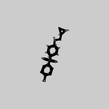 O=S(=O)(c1ccc(Cl)cc1)c1ccc(OCC2CO2)cc1